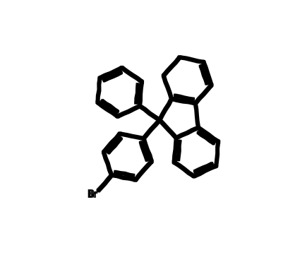 Brc1ccc(C2(c3ccccc3)C3=C(C=CCC3)c3ccccc32)cc1